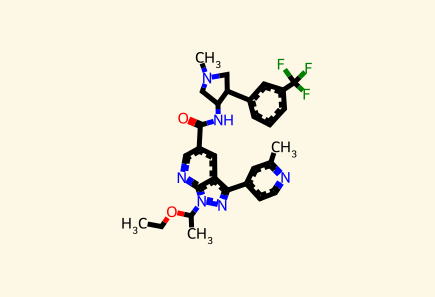 CCOC(C)n1nc(-c2ccnc(C)c2)c2cc(C(=O)NC3CN(C)CC3c3cccc(C(F)(F)F)c3)cnc21